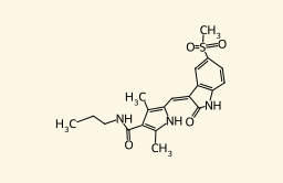 CCCNC(=O)c1c(C)[nH]c(/C=C2\C(=O)Nc3ccc(S(C)(=O)=O)cc32)c1C